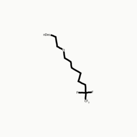 CCCCCCCCCCCCOCCCCCCC(F)(F)C(F)(F)F